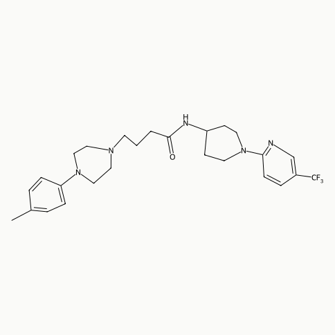 Cc1ccc(N2CCN(CCCC(=O)NC3CCN(c4ccc(C(F)(F)F)cn4)CC3)CC2)cc1